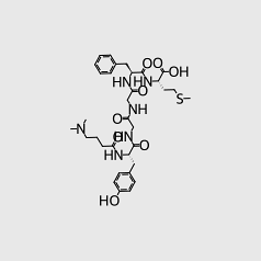 CSCC[C@H](NC(=O)[C@H](Cc1ccccc1)NC(=O)CNC(=O)CNC(=O)[C@H](Cc1ccc(O)cc1)NC(=O)CCCN(C)C)C(=O)O